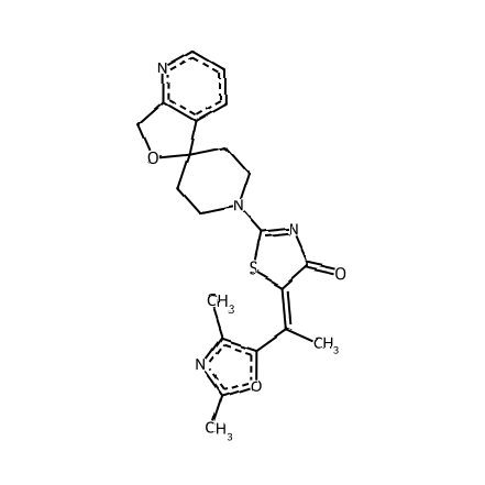 C/C(=C1/SC(N2CCC3(CC2)OCc2ncccc23)=NC1=O)c1oc(C)nc1C